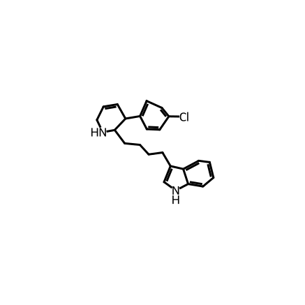 Clc1ccc(C2C=CCNC2CCCCc2c[nH]c3ccccc23)cc1